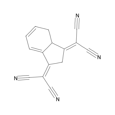 N#CC(C#N)=C1CC(=C(C#N)C#N)C2CC=CC=C12